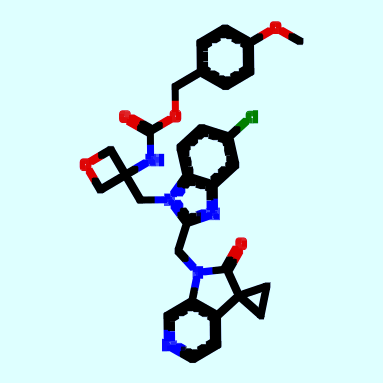 COc1ccc(COC(=O)NC2(Cn3c(CN4C(=O)C5(CC5)c5ccncc54)nc4cc(Cl)ccc43)COC2)cc1